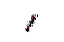 CCC(CO)OC(COC(=O)NCCC(=O)NCCSSc1ccccn1)OC